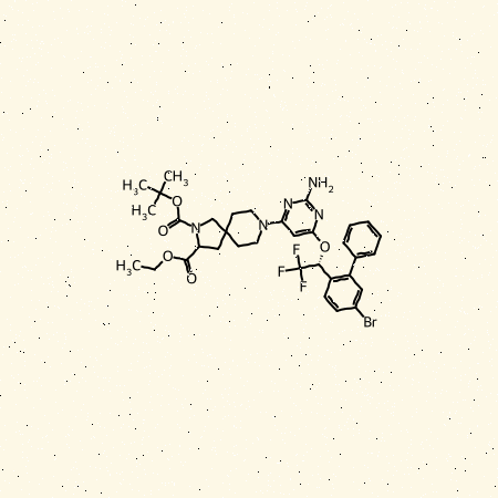 CCOC(=O)C1CC2(CCN(c3cc(O[C@H](c4ccc(Br)cc4-c4ccccc4)C(F)(F)F)nc(N)n3)CC2)CN1C(=O)OC(C)(C)C